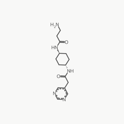 NCCC(=O)N[C@H]1CC[C@H](NC(=O)Cc2cncnc2)CC1